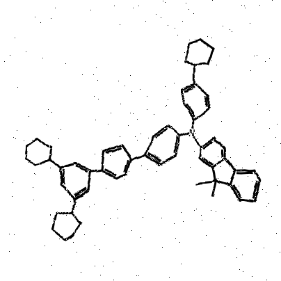 CC1(C)c2ccccc2-c2ccc(N(c3ccc(-c4ccc(-c5cc(C6CCCCC6)cc(C6CCCCC6)c5)cc4)cc3)c3ccc(C4CCCCC4)cc3)cc21